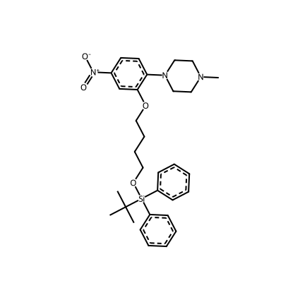 CN1CCN(c2ccc([N+](=O)[O-])cc2OCCCCO[Si](c2ccccc2)(c2ccccc2)C(C)(C)C)CC1